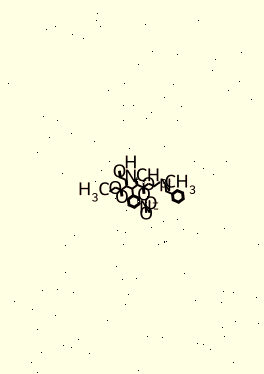 CCOC(=O)C1=C(C=O)NC(C)=C(C(=O)OCCN(C)Cc2ccccc2)C1c1cccc([N+](=O)[O-])c1